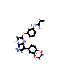 C=CC(=O)Nc1cccc(Oc2cnc3[nH]cc(-c4ccc5c(c4)OCCO5)c3n2)c1